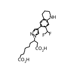 O=C(O)CCCCCC(CC(=O)O)n1cc(-c2cc3c(cc2C(F)F)NCCC3)cn1